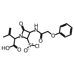 C=C(C)C(C(=O)O)N1C(=O)C(NC(=O)COc2ccccc2)C1[S+]([O-])Cl